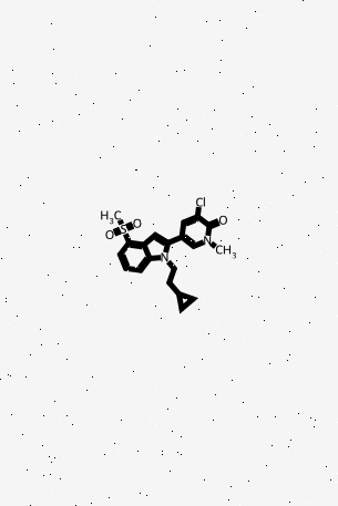 Cn1cc(-c2cc3c(S(C)(=O)=O)cccc3n2CCC2CC2)cc(Cl)c1=O